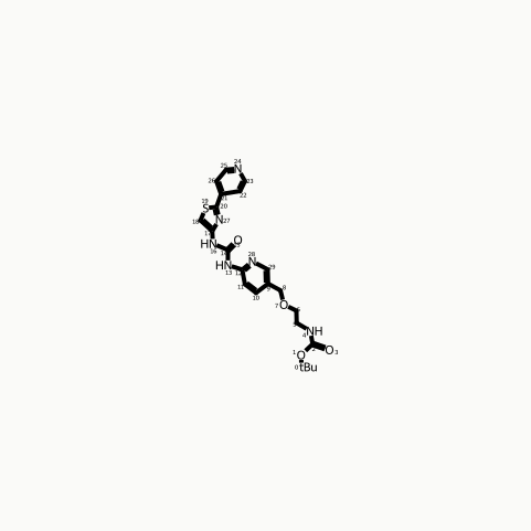 CC(C)(C)OC(=O)NCCOCc1ccc(NC(=O)Nc2csc(-c3ccncc3)n2)nc1